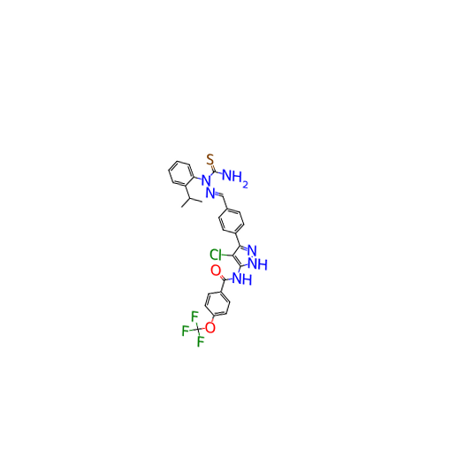 CC(C)c1ccccc1N(/N=C/c1ccc(-c2n[nH]c(NC(=O)c3ccc(OC(F)(F)F)cc3)c2Cl)cc1)C(N)=S